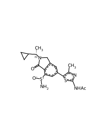 CC(=O)Nc1nc(C)c(-c2cc3c(c([S+](N)[O-])c2)C(=O)N([C@@H](C)C2CC2)C3)s1